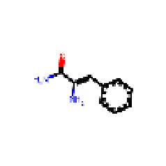 NC(=O)/C(N)=C/c1ccccc1